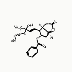 CCCCNSC(C)(O)/C=C/C1[C@H]2CC(=O)O[C@H]2C[C@H]1OC(=O)c1ccccc1